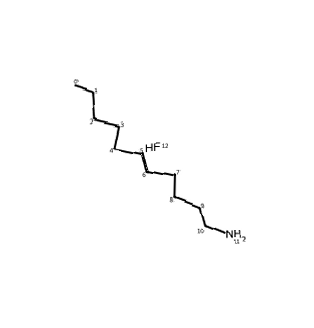 CCCCCCCCCCCN.F